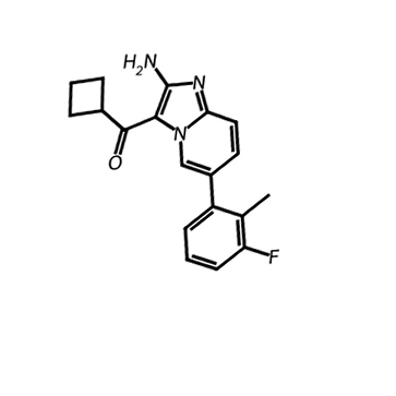 Cc1c(F)cccc1-c1ccc2nc(N)c(C(=O)C3CCC3)n2c1